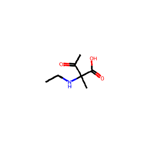 CCNC(C)(C(C)=O)C(=O)O